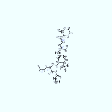 C=C(CC(C)/C(=C\C=C/C)CCc1nc(N/C(=C/C=C(\C)C2CCCCN2C)CC)ncc1C(F)(F)F)N=N